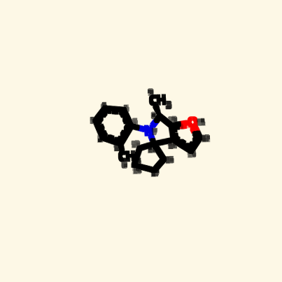 Cc1ccccc1N1[C@@H](C)c2occc2C12CCCC2